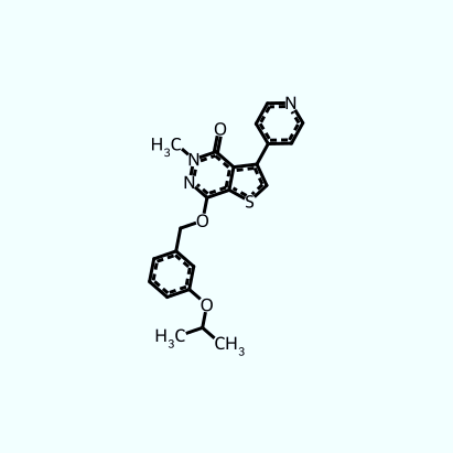 CC(C)Oc1cccc(COc2nn(C)c(=O)c3c(-c4ccncc4)csc23)c1